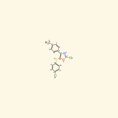 Cc1ccc(-c2nc(Cl)oc2Sc2ccc(Cl)cc2)cc1